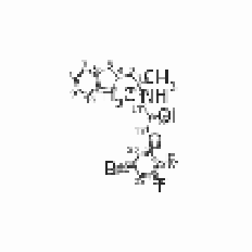 CC(C)(CC1Cc2ccccc2C1)NCC(O)COc1cc(Br)cc(F)c1F